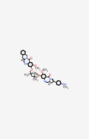 CNc1ccc(C2=CN3C(=O)c4cc(OC)c(OCC(C)(C)CC(C)(C)COc5cc6c(cc5OC)C(=O)N5Cc7ccccc7C[C@H]5C=N6)cc4N=C[C@@H]3C2)cc1